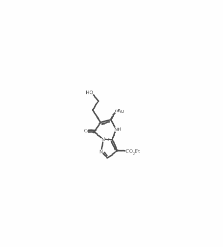 CCCCc1[nH]c2c(C(=O)OCC)cnn2c(=O)c1CCO